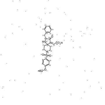 CCCCOc1ccc(S(=O)(=O)N2CCC3(CC2)NC(Cc2ccccc2)C(=O)N3CC(=O)O)cc1